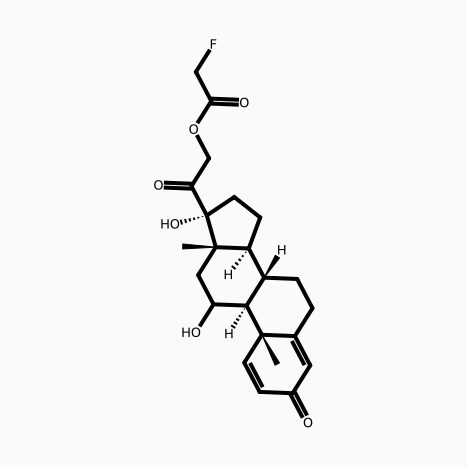 C[C@]12C=CC(=O)C=C1CC[C@@H]1[C@@H]2C(O)C[C@@]2(C)[C@H]1CC[C@]2(O)C(=O)COC(=O)CF